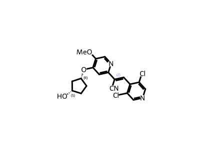 COc1cnc(/C(C#N)=C/c2c(Cl)cncc2Cl)cc1O[C@@H]1CC[C@H](O)C1